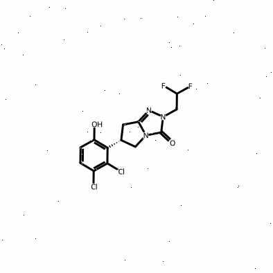 O=c1n(CC(F)F)nc2n1C[C@H](c1c(O)ccc(Cl)c1Cl)C2